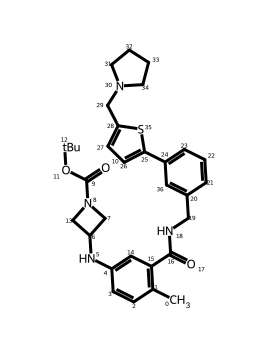 Cc1ccc(NC2CN(C(=O)OC(C)(C)C)C2)cc1C(=O)NCc1cccc(-c2ccc(CN3CCCC3)s2)c1